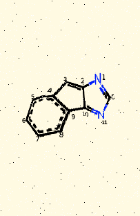 C1=NC2=Cc3ccccc3C2=N1